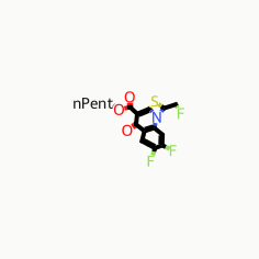 CCCCCOC(=O)c1c2n(c3cc(F)c(F)cc3c1=O)C(CF)S2